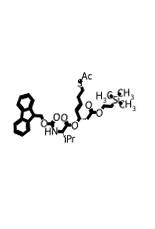 CC(=O)SCC/C=C/[C@H](CC(=O)OCC[Si](C)(C)C)OC(=O)[C@@H](NC(=O)OCC1c2ccccc2-c2ccccc21)C(C)C